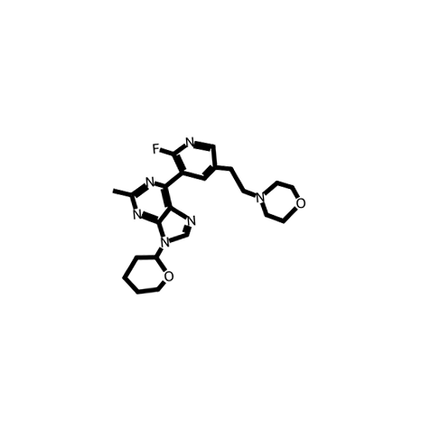 Cc1nc(-c2cc(CCN3CCOCC3)cnc2F)c2ncn(C3CCCCO3)c2n1